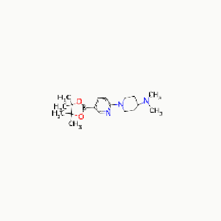 CN(C)C1CCN(c2ccc(B3OC(C)(C)C(C)(C)O3)cn2)CC1